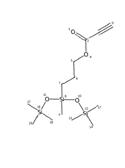 C#CC(=O)OCCC[Si](C)(O[Si](C)(C)C)O[Si](C)(C)C